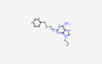 CCCn1cnc2c(N)nc(NCCCc3ccccc3)nc21